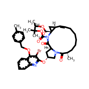 CCOC(=O)[C@@]12C[C@H]1/C=C\CCCCC[C@H](C)C(=O)N1C[C@H](Oc3nc4ccccc4c(OCc4ccc(C)cc4)c3Br)C[C@H]1C(=O)N2C(=O)OC(C)(C)C